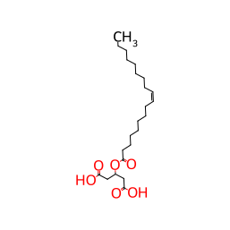 CCCCCCCC/C=C\CCCCCCCC(=O)OC(CC(=O)O)CC(=O)O